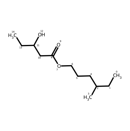 CCC(C)CCCOC(=O)CC(O)CC